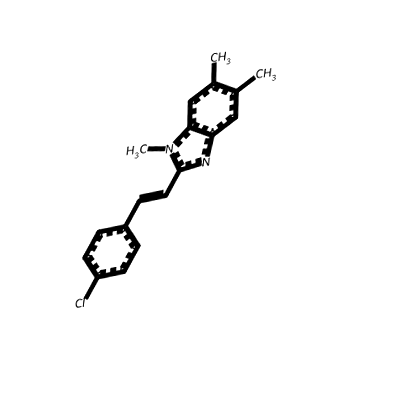 Cc1cc2nc(C=Cc3ccc(Cl)cc3)n(C)c2cc1C